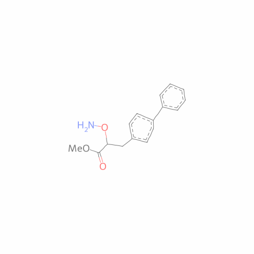 COC(=O)C(Cc1ccc(-c2ccccc2)cc1)ON